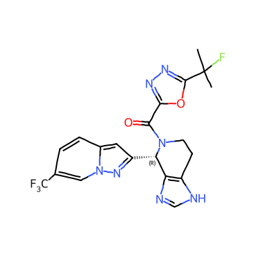 CC(C)(F)c1nnc(C(=O)N2CCc3[nH]cnc3[C@@H]2c2cc3ccc(C(F)(F)F)cn3n2)o1